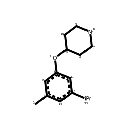 Cc1cc(OC2CC[N]CC2)cc(C(C)C)c1